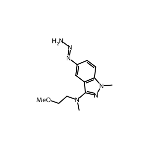 COCCN(C)c1nn(C)c2ccc(N=NN)cc12